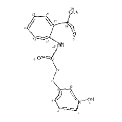 O=C(CCc1cccc(O)c1)Nc1ccccc1C(=O)O